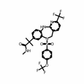 CNC(=O)C(C)(C)c1ccc2c(c1)N(S(=O)(=O)c1ccc(OC(F)(F)F)cc1)Cc1ccc(C(F)(F)F)nc1N2